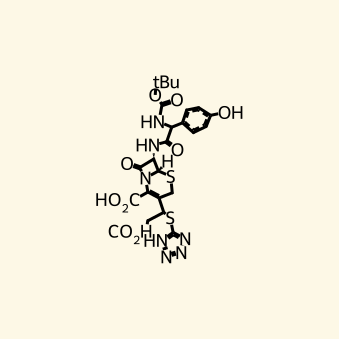 CC(C)(C)OC(=O)NC(C(=O)N[C@H]1C(=O)N2C(C(=O)O)=C(C(CC(=O)O)Sc3nnn[nH]3)CS[C@@H]12)c1ccc(O)cc1